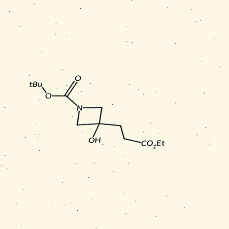 CCOC(=O)CCC1(O)CN(C(=O)OC(C)(C)C)C1